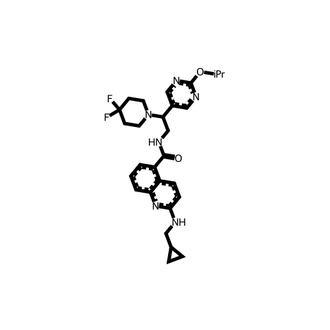 CC(C)Oc1ncc(C(CNC(=O)c2cccc3nc(NCC4CC4)ccc23)N2CCC(F)(F)CC2)cn1